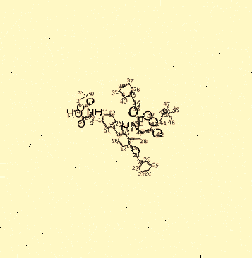 CC(C)(C)OC(=O)N[C@@H](Cc1cccc(-c2ccc(OCc3ccccc3)c(C[C@H](NC(=O)OCc3ccccc3)C(=O)OCC[Si](C)(C)C)c2)c1)C(=O)O